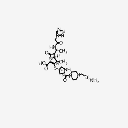 C[C@@H](NC(=O)Cn1cnnn1)[C@H]1C(=O)N2C(C(=O)O)=C(S[C@@H]3CN[C@H](C(=O)N4CCN(CCCN)CC4)C3)[C@H](C)[C@H]12